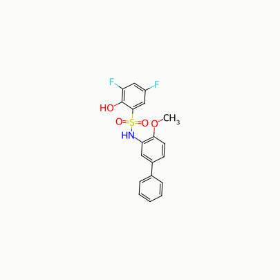 COc1ccc(-c2ccccc2)cc1NS(=O)(=O)c1cc(F)cc(F)c1O